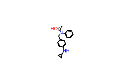 CB(O)N(Cc1ccc(NC2CC2)cc1)c1ccccc1